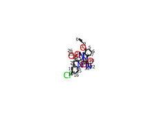 C#CCOc1cccc2c1nc(-c1nc3ccc(Cl)cc3cc1C(=O)OC)n2S(=O)(=O)N(C)C